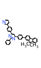 CC1(C)c2ccccc2-c2ccc(-c3ccc(-c4cc(-c5ccc(-c6cccnc6)cc5)nc(-c5ccccc5)n4)cc3)cc21